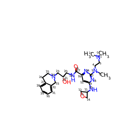 CN(C)CCN(C)c1nc(NC2COC2)cc(C(=O)NC[C@H](O)CN2CCc3ccccc3C2)n1